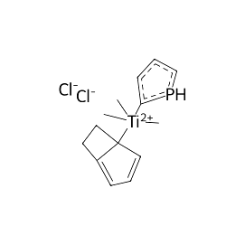 [CH3][Ti+2]([CH3])([CH3])([c]1ccc[pH]1)[C]12C=CC=C1CC2.[Cl-].[Cl-]